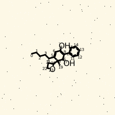 CCCCCC1=CC(O)=C(c2ccccc2)C(O)C1(C)C1CCO1